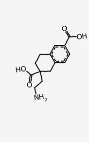 NCCC1(C(=O)O)CCc2cc(C(=O)O)ccc2C1